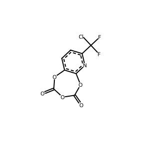 O=C1OC(=O)Oc2nc(C(F)(F)Cl)ccc2O1